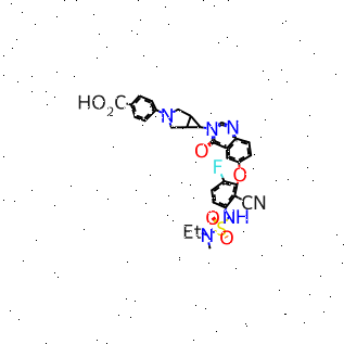 CCN(C)S(=O)(=O)Nc1ccc(F)c(Oc2ccc3ncn(C4C5CN(c6ccc(C(=O)O)cc6)CC54)c(=O)c3c2)c1C#N